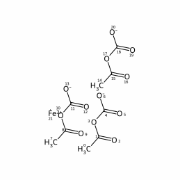 CC(=O)OC(=O)[O-].CC(=O)OC(=O)[O-].CC(=O)OC(=O)[O-].[Fe+3]